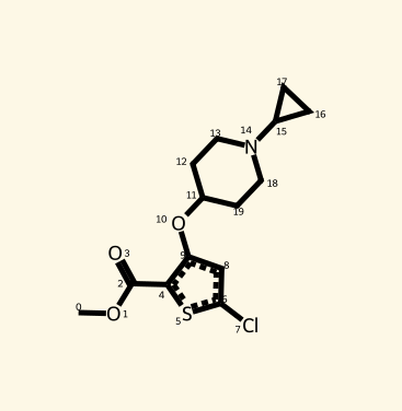 COC(=O)c1sc(Cl)cc1OC1CCN(C2CC2)CC1